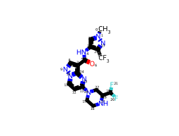 Cn1cc(NC(=O)c2cnn3ccc(N4CCNC(C(F)F)C4)nc23)c(C(F)(F)F)n1